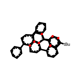 CC(C)(C)c1ccc(N(c2ccccc2-c2ccc(-c3ccccc3)cc2)c2ccccc2-c2cccc3cccc(C4CCCCC4)c23)cc1